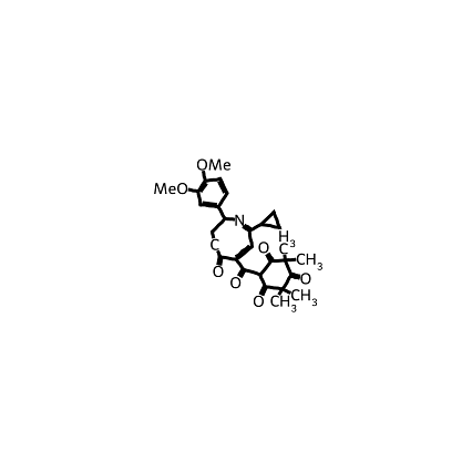 COc1ccc(C2CCC(=O)/C(C(=O)C3C(=O)C(C)(C)C(=O)C(C)(C)C3=O)=C\C(C3CC3)=N/2)cc1OC